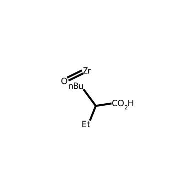 CCCCC(CC)C(=O)O.[O]=[Zr]